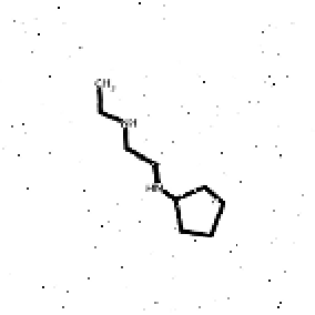 CCNCCNC1CCCC1